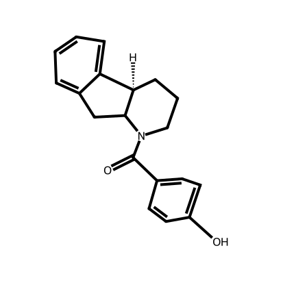 O=C(c1ccc(O)cc1)N1CCC[C@@H]2c3ccccc3CC21